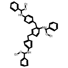 CCOC(Nc1ccc(Cc2ccc(NC(OCC)c3ccccc3)c(Cc3ccc(NC(OCC)c4ccccc4)cc3)c2)cc1)c1ccccc1